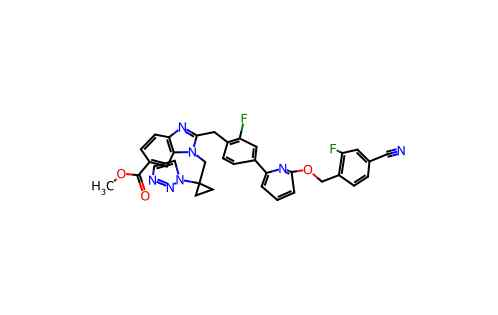 COC(=O)c1ccc2nc(Cc3ccc(-c4cccc(OCc5ccc(C#N)cc5F)n4)cc3F)n(CC3(n4ccnn4)CC3)c2c1